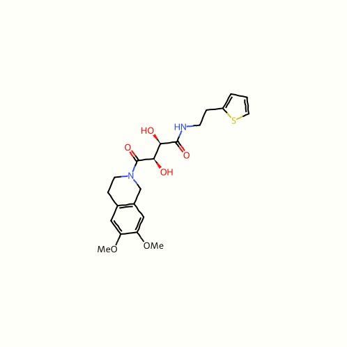 COc1cc2c(cc1OC)CN(C(=O)[C@H](O)[C@@H](O)C(=O)NCCc1cccs1)CC2